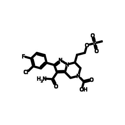 CS(=O)(=O)OCCC1CN(C(=O)O)Cc2c(C(N)=O)c(-c3ccc(F)c(Cl)c3)nn21